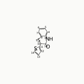 O=C1Nc2ccccc2SC1c1cccs1